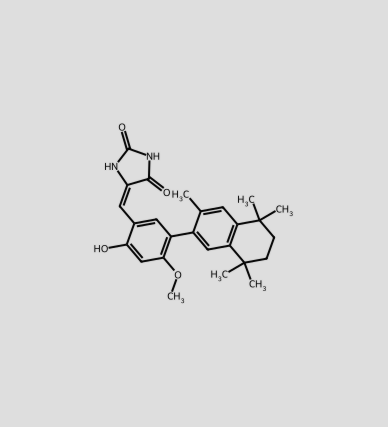 COc1cc(O)c(C=C2NC(=O)NC2=O)cc1-c1cc2c(cc1C)C(C)(C)CCC2(C)C